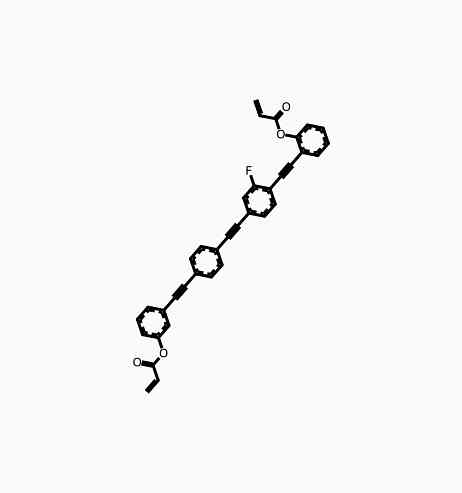 C=CC(=O)Oc1cccc(C#Cc2ccc(C#Cc3ccc(C#Cc4ccccc4OC(=O)C=C)c(F)c3)cc2)c1